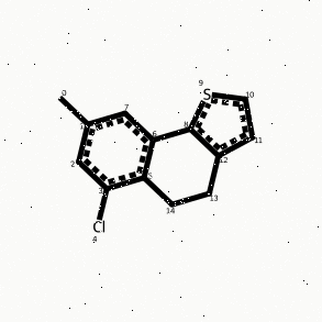 Cc1cc(Cl)c2c(c1)-c1sccc1CC2